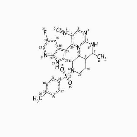 [C-]#[N+]c1cnc(NC(C)C2CCN(S(=O)(=O)c3ccc(C)cc3)CC2)nc1-c1c[nH]c2ncc(F)cc12